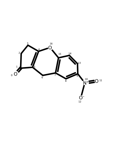 O=C1CCC2=C1Cc1cc([N+](=O)[O-])ccc1O2